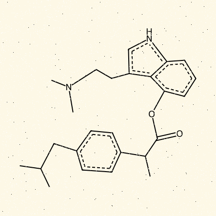 CC(C)Cc1ccc(C(C)C(=O)Oc2cccc3[nH]cc(CCN(C)C)c23)cc1